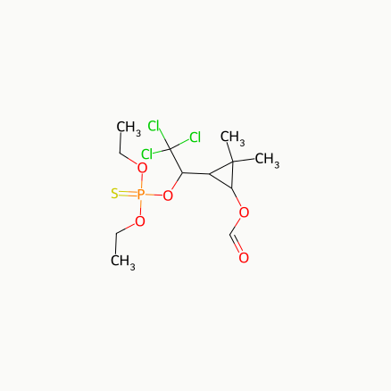 CCOP(=S)(OCC)OC(C1C(OC=O)C1(C)C)C(Cl)(Cl)Cl